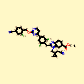 COC(=O)c1ccc2nc(Cc3c(F)cc(-c4ccnc(OCc5ccc(C#N)cc5F)n4)cc3F)n(CC3(CC#N)CC3)c2c1